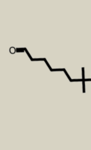 CC(C)(C)CCCCCC=O